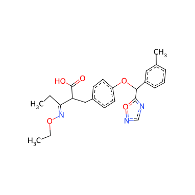 CCON=C(CC)C(Cc1ccc(OC(c2cccc(C)c2)c2ncno2)cc1)C(=O)O